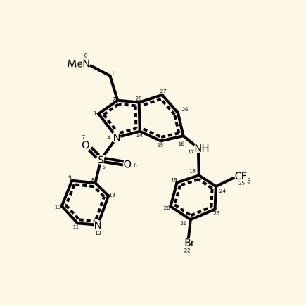 CNCc1cn(S(=O)(=O)c2cccnc2)c2cc(Nc3ccc(Br)cc3C(F)(F)F)ccc12